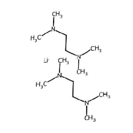 CN(C)CCN(C)C.CN(C)CCN(C)C.[Li]